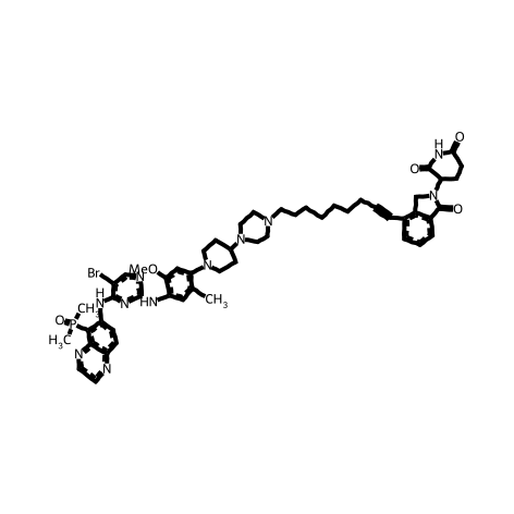 COc1cc(N2CCC(N3CCN(CCCCCCCC#Cc4cccc5c4CN(C4CCC(=O)NC4=O)C5=O)CC3)CC2)c(C)cc1Nc1ncc(Br)c(Nc2ccc3nccnc3c2P(C)(C)=O)n1